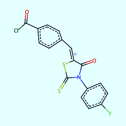 O=C(Cl)c1ccc(/C=C2\SC(=S)N(c3ccc(F)cc3)C2=O)cc1